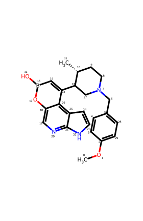 COc1ccc(CN2CC[C@@H](C)C(C3=CB(O)Oc4cnc5[nH]ccc5c43)C2)cc1